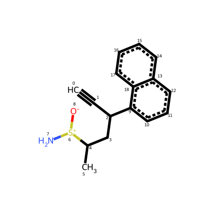 C#CC(CC(C)[S+](N)[O-])c1cccc2ccccc12